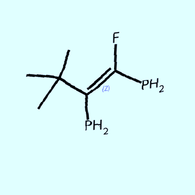 CC(C)(C)/C(P)=C(\F)P